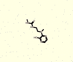 CNC(=S)NCCN(C)c1nccnc1O